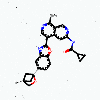 CNc1ncc(-c2nc3cc([C@]45C[C@H](CO4)C5)ccc3o2)c2cc(NC(=O)C3CC3)ncc12